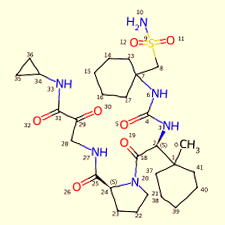 CC1([C@H](NC(=O)NC2(CS(N)(=O)=O)CCCCC2)C(=O)N2CCC[C@H]2C(=O)NCC(=O)C(=O)NC2CC2)CCCCC1